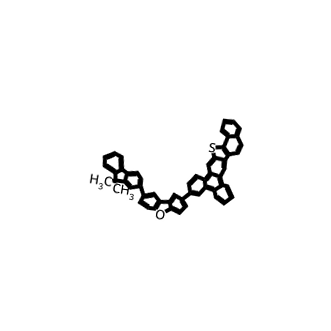 CC1(C)c2ccccc2-c2ccc(-c3ccc4oc5ccc(-c6ccc7c(c6)c6ccccc6c6cc8c(cc76)sc6c7ccccc7ccc86)cc5c4c3)cc21